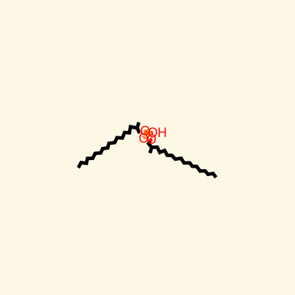 CCCCCCCCCCCCCCCCC(C)COP(=O)(O)OCC(C)CCCCCCCCCCCCCCCC